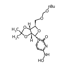 CCCCOCOC[C@H]1O[C@@H](n2ccc(NO)nc2=O)[C@@H]2OC(C)(C)O[C@@H]21